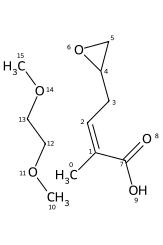 CC(=CCC1CO1)C(=O)O.COCCOC